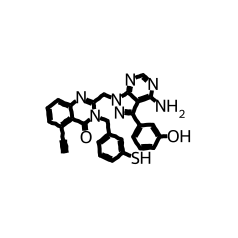 C#Cc1cccc2nc(Cn3nc(-c4cccc(O)c4)c4c(N)ncnc43)n(Cc3cccc(S)c3)c(=O)c12